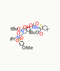 COc1ccc(S(=O)(=O)N(CC[C@H](Cc2ccc(OC(C)(C)C(=O)Nc3sc4c(c3C(=O)OCC(C)C)CC(C)(C)CC4)cc2)N(C(=O)OC(C)(C)C)C(C)(C)O)CC(C)C)cc1